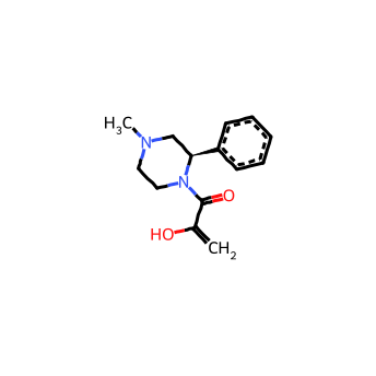 C=C(O)C(=O)N1CCN(C)C[C@H]1c1ccccc1